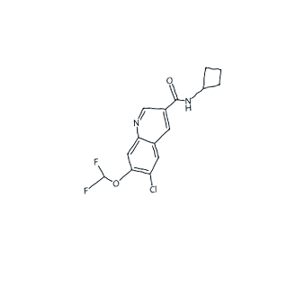 O=C(NC1CCC1)c1cnc2cc(OC(F)F)c(Cl)cc2c1